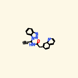 CC(C)(C)C(NC(=O)Cc1ccc2cccnc2c1)n1nnc2ccccc21